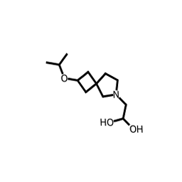 CC(C)OC1CC2(CCN(CC(O)O)C2)C1